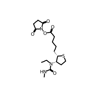 CCN(C(=O)NC)[C@H]1CCS[C@H]1CCCCC(=O)ON1C(=O)CCC1=O